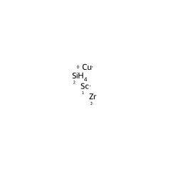 [Cu].[Sc].[SiH4].[Zr]